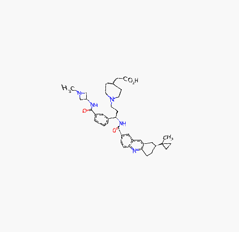 CN1CC(NC(=O)c2cccc([C@@H](CCN3CCC(CC(=O)O)CC3)NC(=O)c3ccc4nc5c(cc4c3)C[C@@H](C3(C)CC3)CC5)c2)C1